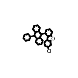 Clc1ccc2c(c1)oc1cccc(-c3c4ccccc4c(-c4ccccc4)c4ccccc34)c12